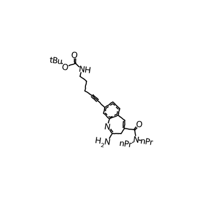 CCCN(CCC)C(=O)C1=Cc2ccc(C#CCCCNC(=O)OC(C)(C)C)cc2N=C(N)C1